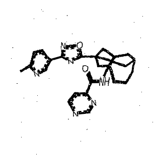 Cc1ccc(-c2noc(C34CC5CCCC(NC(=O)c6ccncn6)(C3)C(C5)C4)n2)cn1